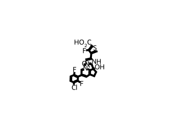 O=C(O)c1scc(-c2cnc(C3(O)CCc4cc(-c5c(F)ccc(Cl)c5F)c[n+]([O-])c43)[nH]2)c1F